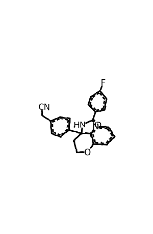 N#CCc1ccc(C2(NC(=O)c3ccc(F)cc3)CCOc3cccnc32)cc1